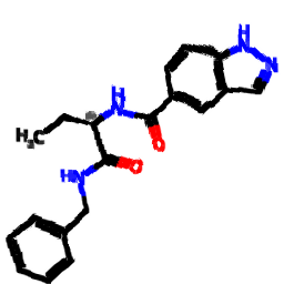 CC[C@@H](NC(=O)c1ccc2[nH]ncc2c1)C(=O)NCc1ccccc1